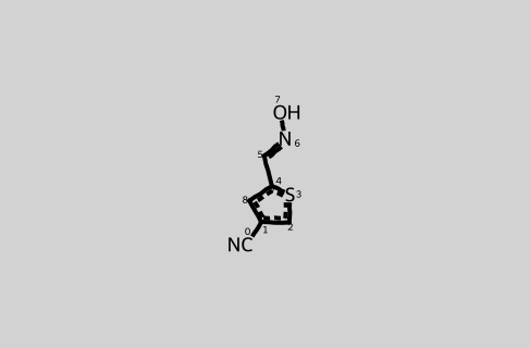 N#Cc1csc(/C=N/O)c1